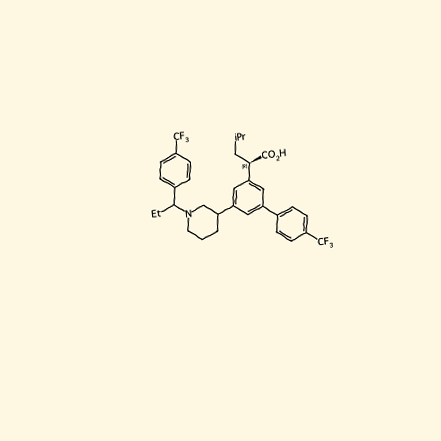 CCC(c1ccc(C(F)(F)F)cc1)N1CCCC(c2cc(-c3ccc(C(F)(F)F)cc3)cc([C@@H](CC(C)C)C(=O)O)c2)C1